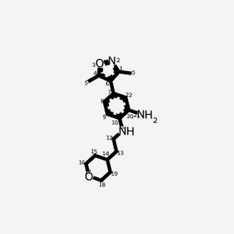 Cc1noc(C)c1-c1ccc(NCCC2CCOCC2)c(N)c1